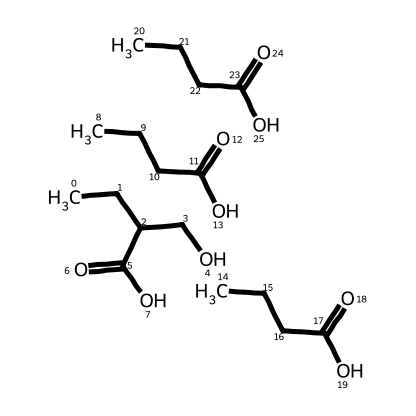 CCC(CO)C(=O)O.CCCC(=O)O.CCCC(=O)O.CCCC(=O)O